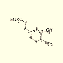 Bc1ccc(CCC(=O)OCC)cc1O